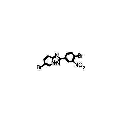 O=[N+]([O-])c1cc(-c2nc3ccc(Br)cn3n2)ccc1Br